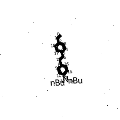 C=Cc1ccc(C=Cc2ccc(N(CCCC)CCCC)cc2)cc1